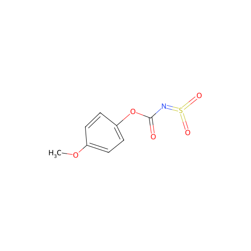 COc1ccc(OC(=O)N=S(=O)=O)cc1